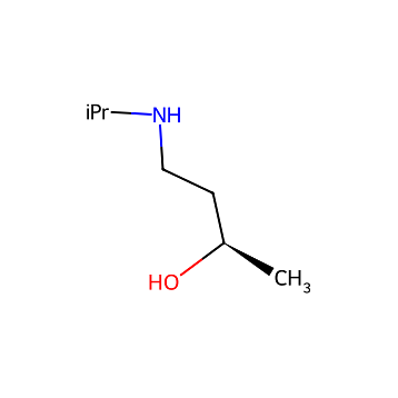 CC(C)NCC[C@@H](C)O